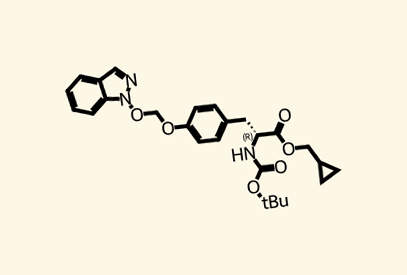 CC(C)(C)OC(=O)N[C@H](Cc1ccc(OCOn2ncc3ccccc32)cc1)C(=O)OCC1CC1